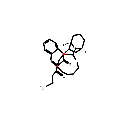 CCOC(=O)CCC(=O)c1nc2ccccc2n([C@@H]2C[C@@H]3CCC[C@H]2N3C2CCCCCCCC2)c1=O